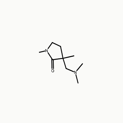 CN(C)CC1(C)CCN(C)C1=O